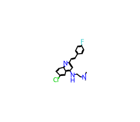 CN(C)CCNc1cc(C=Cc2ccc(F)cc2)nc2ccc(Cl)cc12